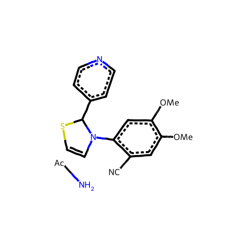 CC(N)=O.COc1cc(C#N)c(N2C=CSC2c2ccncc2)cc1OC